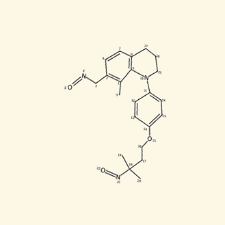 Cc1c(CN=O)ccc2c1N(c1ccc(OCCC(C)(C)N=O)cc1)CCC2